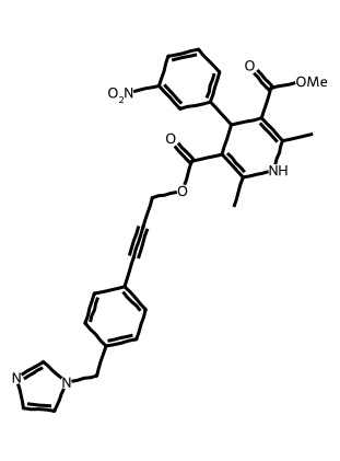 COC(=O)C1=C(C)NC(C)=C(C(=O)OCC#Cc2ccc(Cn3ccnc3)cc2)C1c1cccc([N+](=O)[O-])c1